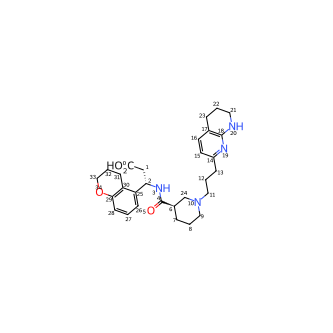 O=C(O)C[C@H](NC(=O)[C@@H]1CCCN(CCCc2ccc3c(n2)NCCC3)C1)c1cccc2c1CCCO2